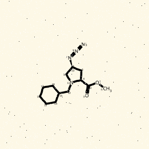 COC(=O)C1C[C@H](N=[N+]=[N-])CN1CC1CCCCC1